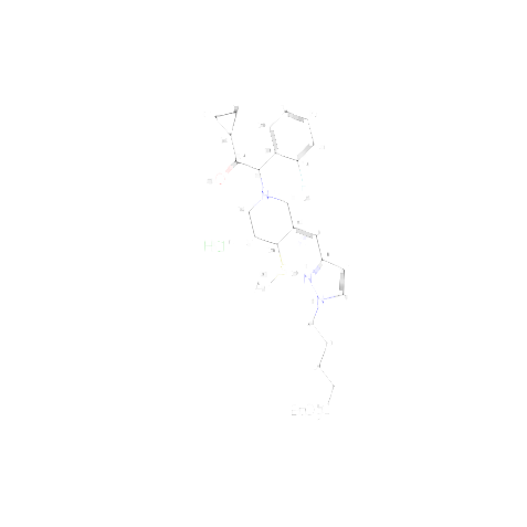 CCOC(=O)CCCCn1ccc(/C=C2/CN(C(C(=O)C3CC3)c3ccccc3F)CCC2SC(C)=O)n1.Cl